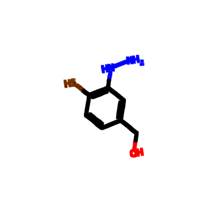 NNc1cc(CO)ccc1S